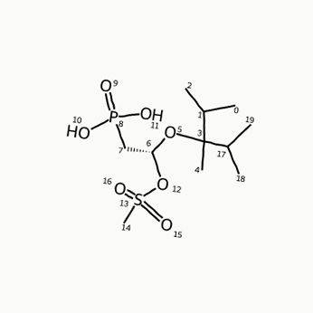 CC(C)C(C)(O[C@@H](CP(=O)(O)O)OS(C)(=O)=O)C(C)C